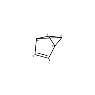 C1=CC2[C]3C1C32